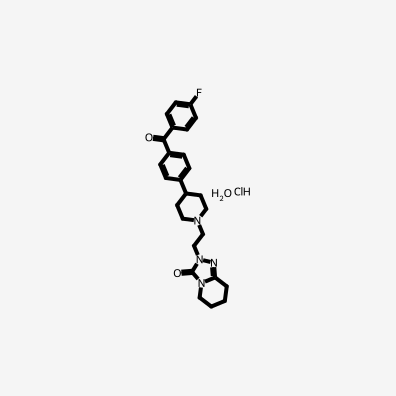 Cl.O.O=C(c1ccc(F)cc1)c1ccc(C2CCN(CCn3nc4n(c3=O)CCCC4)CC2)cc1